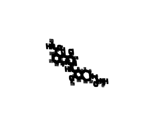 CNC(=O)CN1CCc2cc(Nc3ncc(Cl)c(Nc4c(F)cccc4C(=O)NC)n3)c(OC)cc2CC1